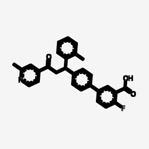 Cc1cc(C(=O)CC(c2ccc(-c3ccc(F)c(C(=O)O)c3)cc2)c2ccccc2C)ccn1